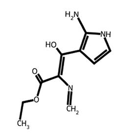 C=N/C(C(=O)OCC)=C(/O)c1cc[nH]c1N